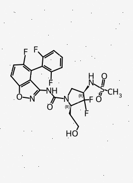 CS(=O)(=O)N[C@@H]1CN(C(=O)Nc2noc3ccc(F)c(-c4c(F)cccc4F)c23)[C@H](CCO)C1(F)F